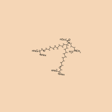 CCCCCCCCC(=O)N(CCCN(C)C)C(CCCCCCCCCOCC(CCCCCC)CCCCCC)CCCCCCCCCOCC(CCCCCC)CCCCCC